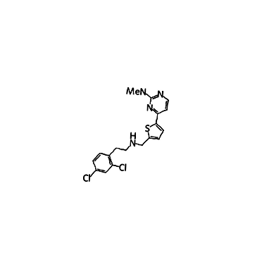 CNc1nccc(-c2ccc(CNCCc3ccc(Cl)cc3Cl)s2)n1